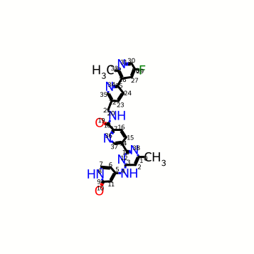 Cc1cc(Nc2cc[nH]c(=O)c2)nc(-c2ccc(C(=O)NCc3ccc(-c4cc(F)cnc4C)nc3)nc2)n1